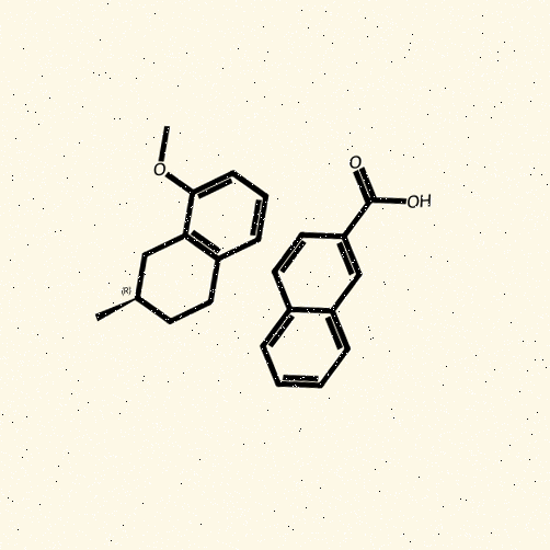 COc1cccc2c1C[C@H](C)CC2.O=C(O)c1ccc2ccccc2c1